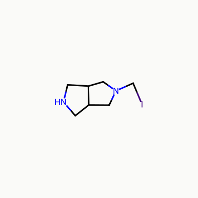 ICN1CC2CNCC2C1